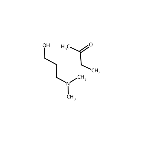 CCC(C)=O.CN(C)CCCO